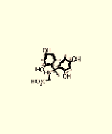 CC(NCC(=O)O)(c1ccc(O)cc1O)c1ccc(O)cc1O